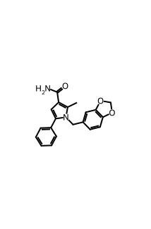 Cc1c(C(N)=O)cc(-c2ccccc2)n1Cc1ccc2c(c1)OCO2